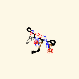 CC[C@H](NC(=O)[C@H](C[S+]([O-])CC1CC1)NC1=NS(=O)(=O)c2ccccc21)C(=O)c1nc2ccccc2o1